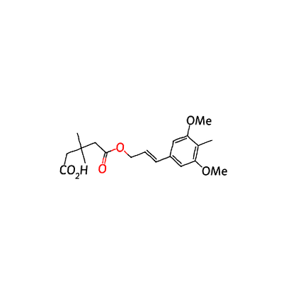 COc1cc(/C=C/COC(=O)CC(C)(C)CC(=O)O)cc(OC)c1C